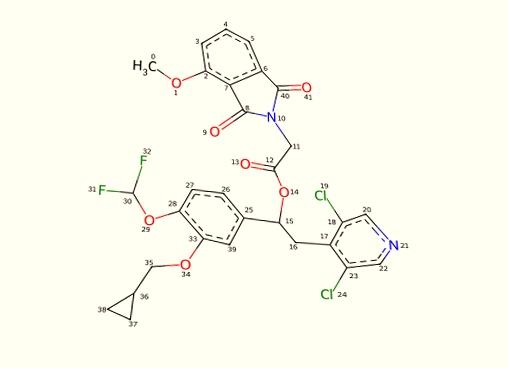 COc1cccc2c1C(=O)N(CC(=O)OC(Cc1c(Cl)cncc1Cl)c1ccc(OC(F)F)c(OCC3CC3)c1)C2=O